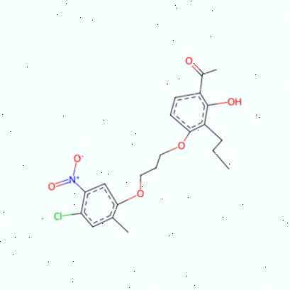 CCCc1c(OCCCOc2cc([N+](=O)[O-])c(Cl)cc2C)ccc(C(C)=O)c1O